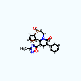 Cc1noc(-c2cc(-c3ccccc3)c(=O)n3c2-c2sccc2[S+]([O-])CC3)n1